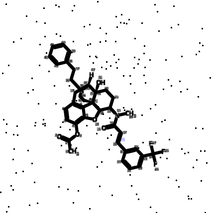 CC(=O)Oc1ccc2c3c1OC1C(N(C)C(=O)/C=C/c4cccc(C(F)(F)F)c4)CC[C@@]4(O)[C@@H](C2)N(CCc2ccccc2)CC[C@]314